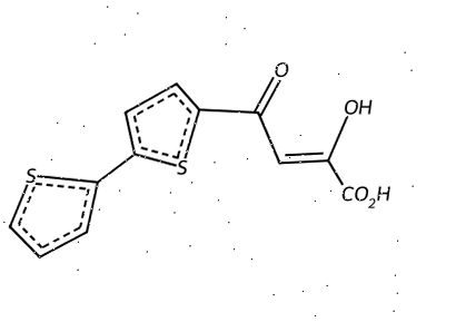 O=C(O)C(O)=CC(=O)c1ccc(-c2cccs2)s1